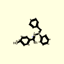 CC/C(=N\N(Cc1ccccc1)c1ccccc1)c1ccc(O)cc1